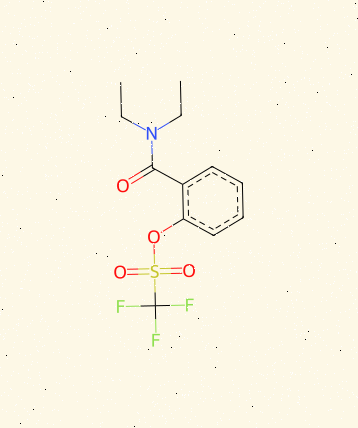 CCN(CC)C(=O)c1ccccc1OS(=O)(=O)C(F)(F)F